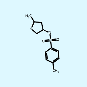 Cc1ccc(S(=O)(=O)O[C@H]2CSC(C)C2)cc1